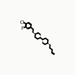 C=CCCC[C@H]1CC[C@H]([C@H]2CC[C@H](CCc3ccc(Cl)c(F)c3)CC2)CC1